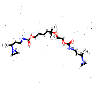 CC(CCNC(=O)OCCCCC(C)(C)OCCOC(=O)NCCC(C)N1CC1)N1CC1